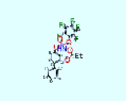 CCC(=O)ONP(=O)(Oc1ccc(-c2ccccc2)cc1)Oc1c(F)c(F)c(F)c(F)c1F